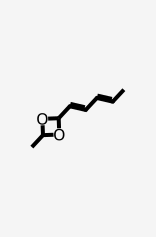 C/C=C/C=C/C1OC(C)O1